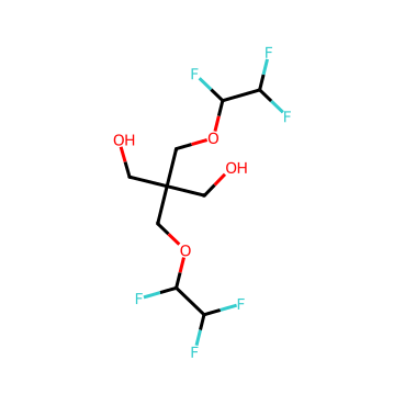 OCC(CO)(COC(F)C(F)F)COC(F)C(F)F